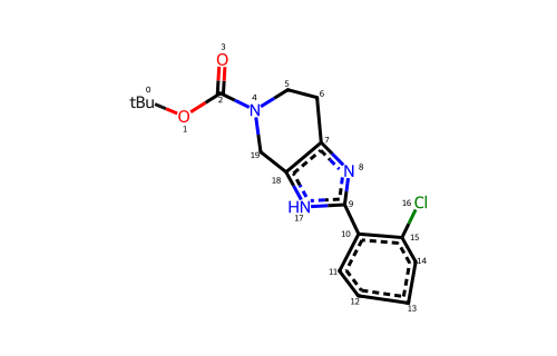 CC(C)(C)OC(=O)N1CCc2nc(-c3ccccc3Cl)[nH]c2C1